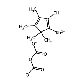 CC1=C(C)C(C)(C)[C]([Rh+2])=C1C.O=C([O-])OC(=O)[O-]